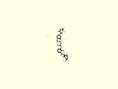 COc1cc(-c2cn(C)c(=O)c(C)c2C)cc(OC)c1CN1CCC(Cc2cccc3c2CCN(C(=O)/C(C#N)=C\C(C)(C)CF)C3C(C)C)CC1